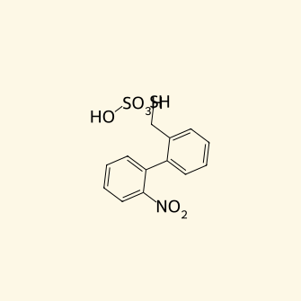 O=S(=O)(O)O.O=[N+]([O-])c1ccccc1-c1ccccc1CS